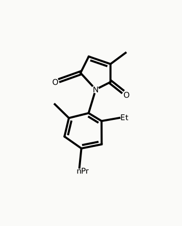 CCCc1cc(C)c(N2C(=O)C=C(C)C2=O)c(CC)c1